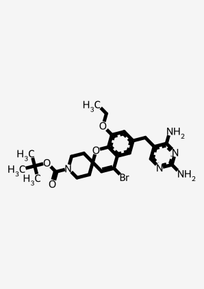 CCOc1cc(Cc2cnc(N)nc2N)cc2c1OC1(C=C2Br)CCN(C(=O)OC(C)(C)C)CC1